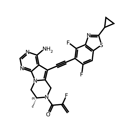 C=C(F)C(=O)N1Cc2c(C#Cc3c(F)cc4sc(C5CC5)nc4c3F)c3c(N)ncnc3n2C[C@H]1C